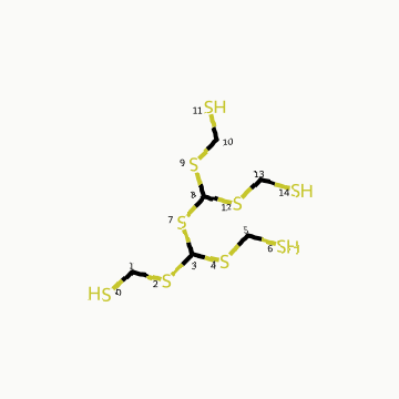 SCSC(SCS)SC(SCS)SCS